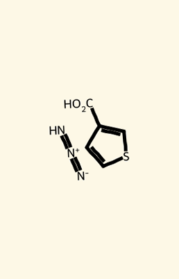 O=C(O)c1ccsc1.[N-]=[N+]=N